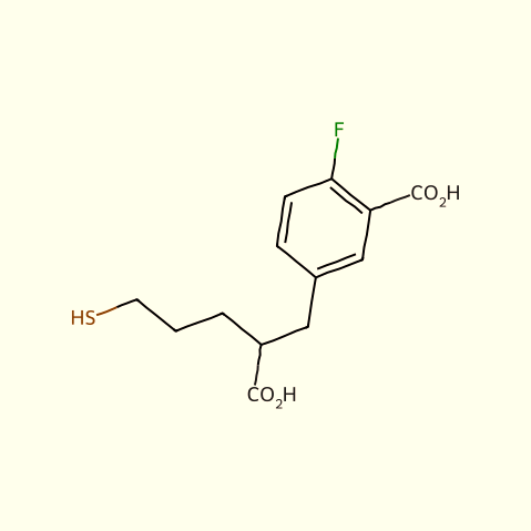 O=C(O)c1cc(CC(CCCS)C(=O)O)ccc1F